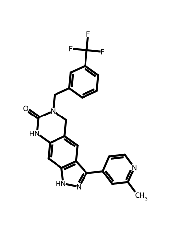 Cc1cc(-c2n[nH]c3cc4c(cc23)CN(Cc2cccc(C(F)(F)F)c2)C(=O)N4)ccn1